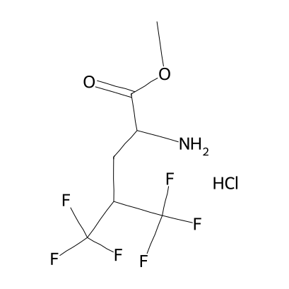 COC(=O)C(N)CC(C(F)(F)F)C(F)(F)F.Cl